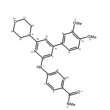 CNC(=O)c1ccc(Nc2cc(-c3ccc(OC)c(OC)c3)nc(N3CCOCC3)n2)cn1